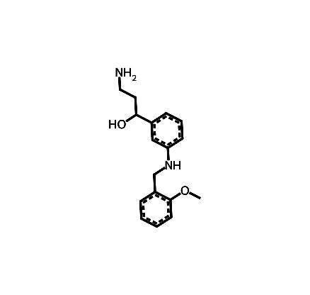 COc1ccccc1CNc1cccc(C(O)CCN)c1